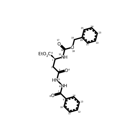 CCOC(=O)[C@H](CC(=O)NNC(=O)c1ccccc1)NC(=O)OCc1ccccc1